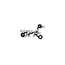 CC(CN(C)C(=O)CCC(NC(=O)C(CC1CCCCC1)NC(=O)OCc1cccc(Cl)c1)C(=O)O)c1ccccc1